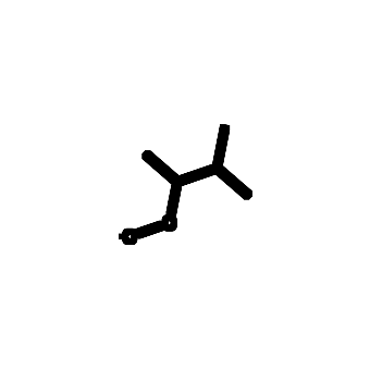 C[C](C)C(C)O[O]